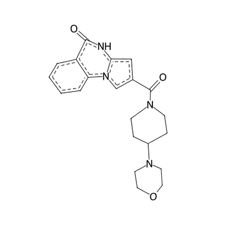 O=C(c1cc2[nH]c(=O)c3ccccc3n2c1)N1CCC(N2CCOCC2)CC1